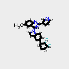 Cc1ccc2nc(-c3cccnc3)nc(N3CCc4cc(-c5cccc(F)c5F)ccc43)c2c1